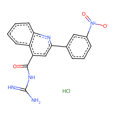 Cl.N=C(N)NC(=O)c1cc(-c2cccc([N+](=O)[O-])c2)nc2ccccc12